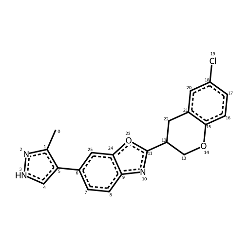 Cc1n[nH]cc1-c1ccc2nc(C3COc4ccc(Cl)cc4C3)oc2c1